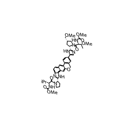 COC[C@H]1C[C@@H](c2ncc(-c3ccc4c(c3)COc3cc5c(ccc6nc([C@@H]7CCCN7C(=O)[C@@H](NC(=O)OC)C(C)C)[nH]c65)cc3-4)[nH]2)N(C(=O)[C@@H](NC(=O)OC)[C@@H](C)OC)C1